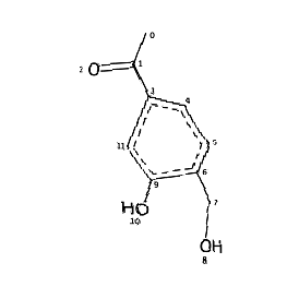 CC(=O)c1ccc(CO)c(O)c1